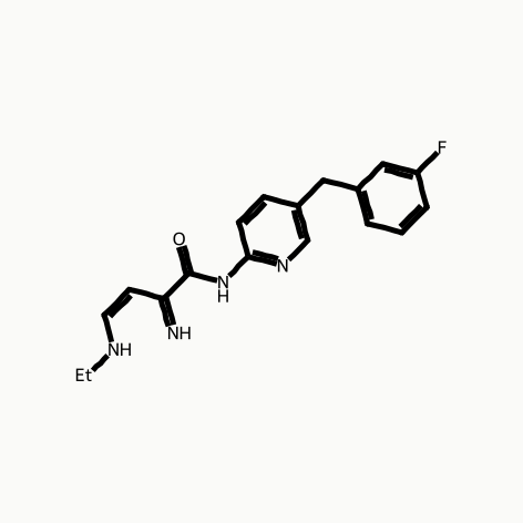 CCN/C=C\C(=N)C(=O)Nc1ccc(Cc2cccc(F)c2)cn1